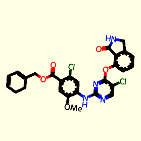 COc1cc(C(=O)OCC2=CC=CCC2)c(Cl)cc1Nc1ncc(Cl)c(Oc2cccc3c2C(=O)NC3)n1